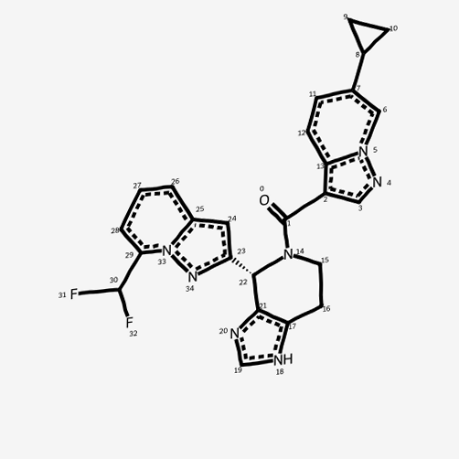 O=C(c1cnn2cc(C3CC3)ccc12)N1CCc2[nH]cnc2[C@@H]1c1cc2cccc(C(F)F)n2n1